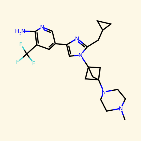 CN1CCN(C23CC(n4cc(-c5cnc(N)c(C(F)(F)F)c5)nc4CC4CC4)(C2)C3)CC1